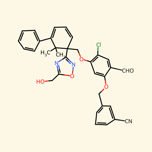 CC1(C)C(c2ccccc2)=CC=CC1(COc1cc(OCc2cccc(C#N)c2)c(C=O)cc1Cl)c1noc(CO)n1